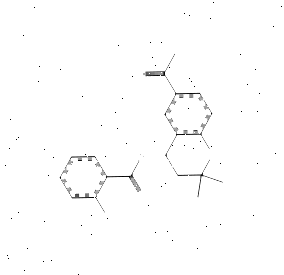 CC(=O)c1ccc2c(c1)[C@@H](NC(=O)c1ccccc1F)CC(C)(C)O2